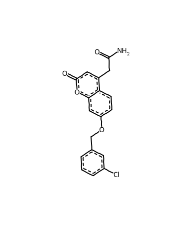 NC(=O)Cc1cc(=O)oc2cc(OCc3cccc(Cl)c3)ccc12